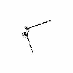 C#CC#CC#CC#CC#CC#CC#CC(=O)OC[C@H](CO)OC(=O)CCCCCCCCCCCC